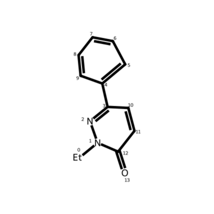 CCn1nc(-c2ccccc2)ccc1=O